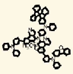 C[Si]1(C)c2c(c3ccncc3c3cc(-c4cccc(N(c5ccccc5)c5ccccc5)c4)ccc23)N(c2ccc(N(c3ccccc3)c3ccc4c(c3)-c3ccccc3C43c4ccccc4-c4ccccc43)cc2)c2c1c1ccc(-c3cccc(N(c4ccccc4)c4ccc5oc6ccccc6c5c4)c3)cc1c1cccnc21